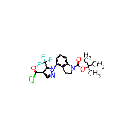 CC(C)(C)OC(=O)N1CCc2c1cccc2-n1ncc(C(=O)Cl)c1C(F)(F)F